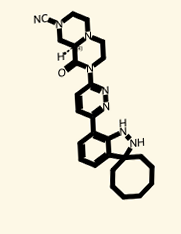 N#CN1CCN2CCN(c3ccc(-c4cccc5c4NNC54CCCCCCC4)nn3)C(=O)[C@H]2C1